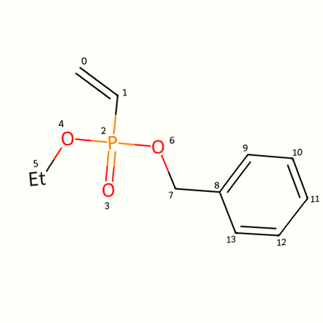 C=CP(=O)(OCC)OCc1ccccc1